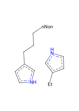 CCCCCCCCCCCCc1cc[nH]c1.CCc1cc[nH]c1